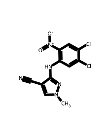 Cn1cc(C#N)c(Nc2cc(Cl)c(Cl)cc2[N+](=O)[O-])n1